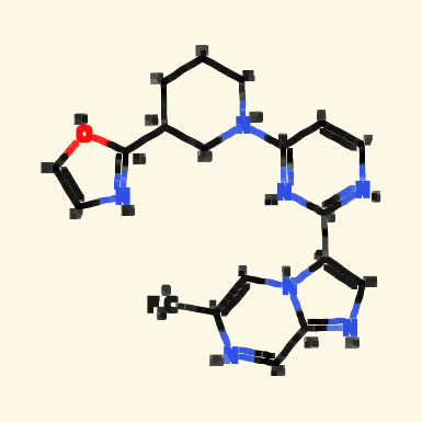 FC(F)(F)c1cn2c(-c3nccc(N4CCCC(c5ncco5)C4)n3)cnc2cn1